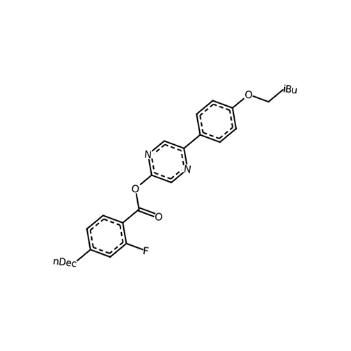 CCCCCCCCCCc1ccc(C(=O)Oc2cnc(-c3ccc(OCC(C)CC)cc3)cn2)c(F)c1